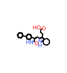 O=C(O)CCc1c(/C=C2\C(=O)Nc3cc(-c4ccccc4)ccc32)[nH]c2c1CCCCC2